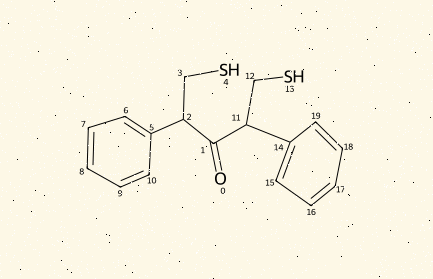 O=C(C(CS)c1ccccc1)C(CS)c1ccccc1